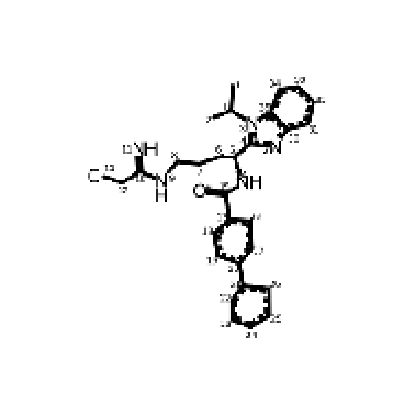 CC(C)n1c([C@H](CCCNC(=N)CCl)NC(=O)c2ccc(-c3ccccc3)cc2)nc2ccccc21